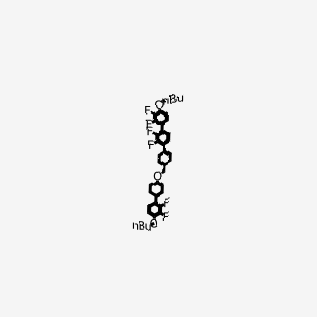 CCCCOc1ccc(C2=CCC(OCC3CC=C(c4ccc(-c5ccc(OCCCC)c(F)c5F)c(F)c4F)CC3)CC2)c(F)c1F